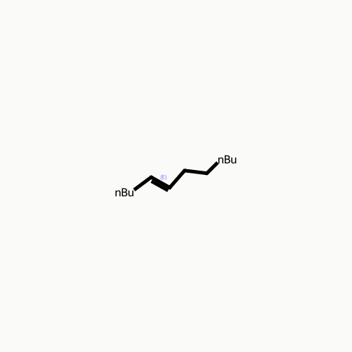 [CH2]CCC/C=C/CCCCC[CH2]